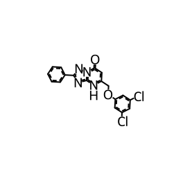 O=c1cc(COc2cc(Cl)cc(Cl)c2)[nH]c2nc(-c3ccccc3)nn12